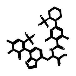 Cc1cc(C(F)(F)F)c(-c2ccc(CC(NC(=O)c3c(F)cc(N4CCCC[C@@H]4C(F)(F)F)cc3F)C(=O)O)n3ccnc23)c(=O)n1C